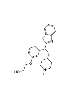 CN1CCC(OC(c2cccc(SCCO)c2)c2nc3ccccc3s2)CC1